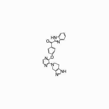 O=C(c1ccc(Oc2nccnc2N2CCc3[nH]cnc3C2)cc1)c1nc2ccccc2[nH]1